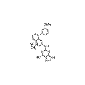 COc1cccc(-c2ccnc3ccc(Nc4nc(O)c5nc[nH]c5n4)cc23)c1.CS(=O)(=O)O